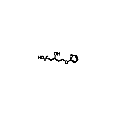 O=C(O)CC(O)CCOc1cccs1